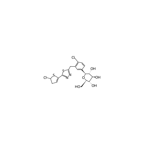 OC[C@H]1O[C@@H](c2ccc(Cl)c(Cc3nnc(C4=CCC(Cl)S4)s3)c2)[C@H](O)[C@@H](O)[C@@H]1O